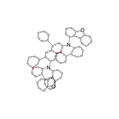 c1ccc(-c2ccccc2N(c2cc(-c3ccccc3)c3cc(-c4ccccc4)c(N(c4ccccc4-c4ccccc4)c4cccc5oc6ccccc6c45)cc3c2)c2cccc3oc4ccccc4c23)cc1